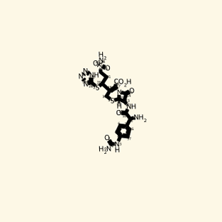 NC(=O)Nc1ccc(C(N)C(=O)NC2C(=O)N3C(C(=O)O)=C(C(CCS(N)(=O)=O)Sc4nnn[nH]4)CS[C@@H]23)cc1